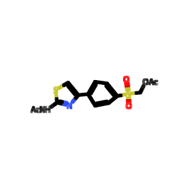 CC(=O)Nc1nc(-c2ccc(S(=O)(=O)COC(C)=O)cc2)cs1